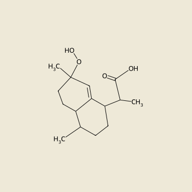 CC1CCC(C(C)C(=O)O)C2=CC(C)(OO)CCC21